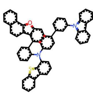 c1cc(-c2ccc(N(c3ccccc3-c3cccc4oc5c6ccccc6ccc5c34)c3cccc4c3sc3ccccc34)cc2)cc(-n2c3ccccc3c3ccccc32)c1